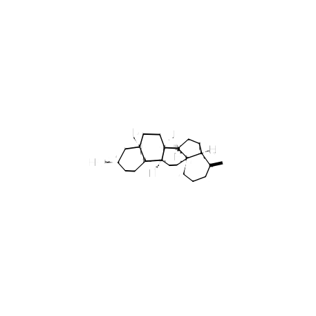 C=C1CCC[C@@]23CC[C@H]4[C@@H](CC[C@H]5C[C@H](O)CC[C@@]54C)[C@@H]2CC[C@H]13